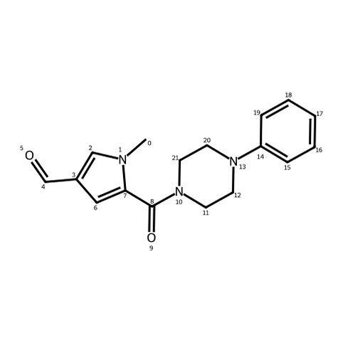 Cn1cc(C=O)cc1C(=O)N1CCN(c2ccccc2)CC1